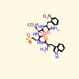 CS(=O)(=O)CC[C@H](NC(=O)[C@H](N)Cc1c[nH]c2ccccc12)C(=O)N[C@@H](CC(=O)O)C(=O)N[C@@H](Cc1ccccc1[N+](=O)[O-])C(N)=O